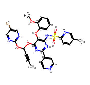 CC#CC(Oc1ncc(Br)cn1)Oc1nc(-c2ccncc2)nc(NS(=O)(=O)c2ccc(C)cn2)c1Oc1ccccc1OC